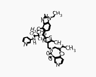 CC[C@@H]1CN(Cc2nc([C@@H](c3ccc4c(nnn4CC)c3C)C(C)(C)C(=O)Nc3cccnc3)sc2C)S(=O)(=O)c2cnccc2O1